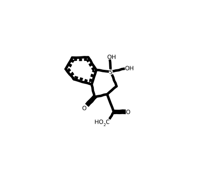 O=C(O)C(=O)C1CS(O)(O)c2ccccc2C1=O